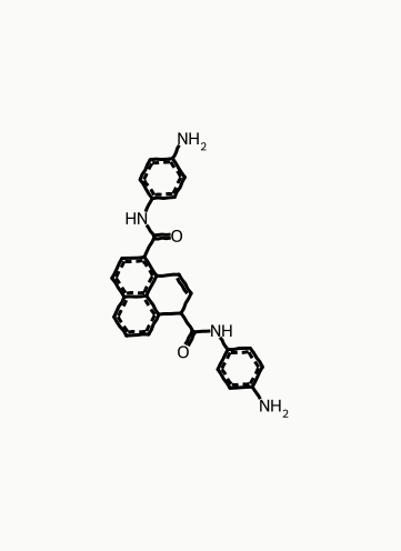 Nc1ccc(NC(=O)c2ccc3cccc4c3c2C=CC4C(=O)Nc2ccc(N)cc2)cc1